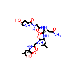 CC(C)C[C@@H](NC(=O)CNC(=O)[C@@H](CC(C)C)NC(=O)[C@@H](CCC(N)=O)NC(=O)CNC(=O)[C@H]1C[C@H](O)CN1)C(=O)O